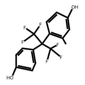 Cc1cc(O)ccc1C(c1ccc(O)cc1)(C(F)(F)F)C(F)(F)F